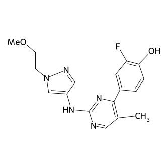 COCCn1cc(Nc2ncc(C)c(-c3ccc(O)c(F)c3)n2)cn1